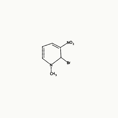 CN1C=CC=C([N+](=O)[O-])C1Br